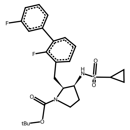 CC(C)(C)OC(=O)N1CC[C@H](NS(=O)(=O)C2CC2)[C@@H]1Cc1cccc(-c2cccc(F)c2)c1F